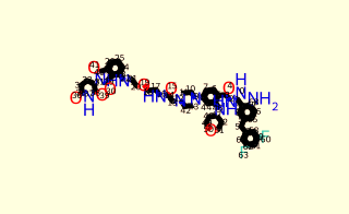 N=C(NC(=O)c1ccc(N2CCN(CC(=O)NCCOCCNc3cccc4c3C(=O)N(C3CCC(=O)NC3=O)C4=O)CC2)cc1NC1CCOCC1)c1cc(Cc2cc(F)cc(F)c2)ccc1N